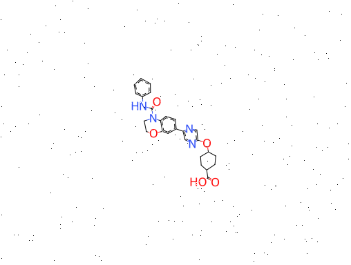 O=C(O)C1CCC(Oc2cnc(-c3ccc4c(c3)OCCN4C(=O)Nc3ccccc3)cn2)CC1